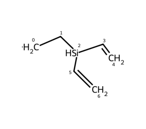 [CH2]C[SiH](C=C)C=C